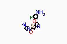 CN(C)C1CCN(C(=O)c2cc3nccc(Oc4ccc(N)cc4F)c3s2)C1